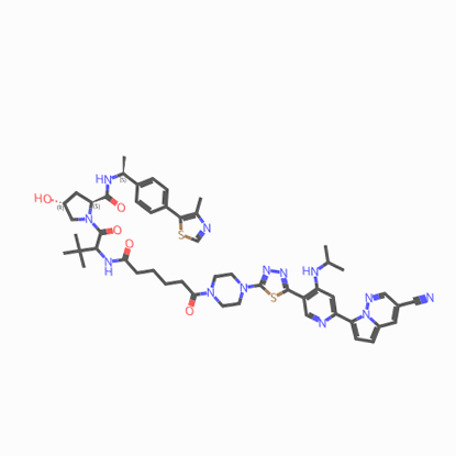 Cc1ncsc1-c1ccc([C@H](C)NC(=O)[C@@H]2C[C@@H](O)CN2C(=O)C(NC(=O)CCCCC(=O)N2CCN(c3nnc(-c4cnc(-c5ccc6cc(C#N)cnn56)cc4NC(C)C)s3)CC2)C(C)(C)C)cc1